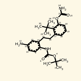 CC(C)(C)OC(=O)Nc1ccc(N)cc1CCc1cccc(OC(N)=O)c1C(C)(C)C